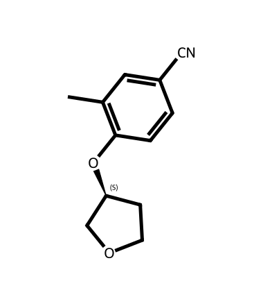 Cc1cc(C#N)ccc1O[C@H]1CCOC1